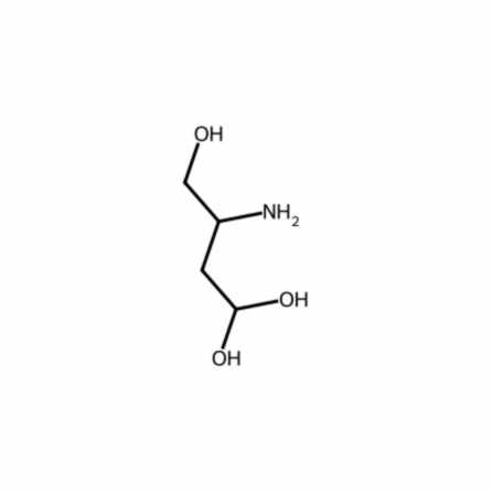 NC(CO)CC(O)O